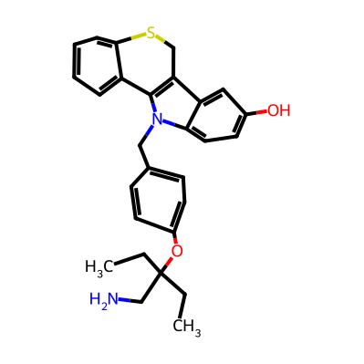 CCC(CC)(CN)Oc1ccc(Cn2c3c(c4cc(O)ccc42)CSc2ccccc2-3)cc1